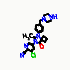 C=C1N(c2cnc(C#N)c(Cl)c2)C(=O)C2(CCC2)N1c1ccc(CN2CCNCC2)cc1